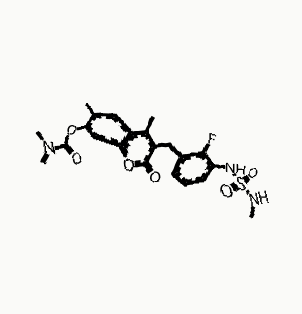 CNS(=O)(=O)Nc1cccc(Cc2c(C)c3cc(C)c(OC(=O)N(C)C)cc3oc2=O)c1F